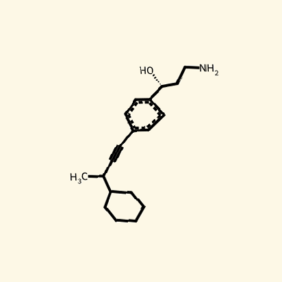 CC(C#Cc1ccc([C@H](O)CCN)cc1)C1CCCCC1